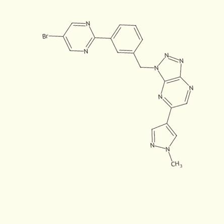 Cn1cc(-c2cnc3nnn(Cc4cccc(-c5ncc(Br)cn5)c4)c3n2)cn1